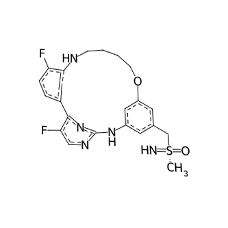 C[S@@](=N)(=O)Cc1cc2cc(c1)OCCCCNc1cc(ccc1F)-c1nc(ncc1F)N2